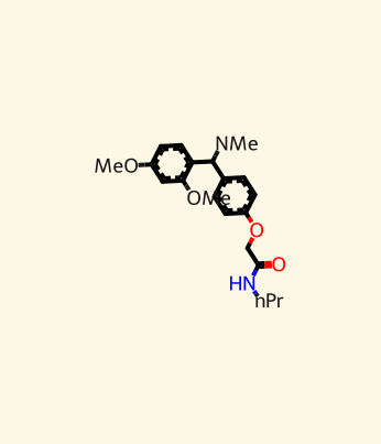 CCCNC(=O)COc1ccc(C(NC)c2ccc(OC)cc2OC)cc1